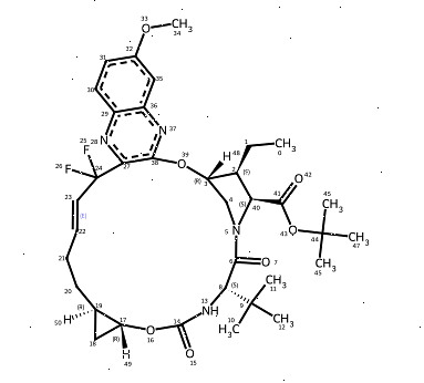 CC[C@@H]1[C@@H]2CN(C(=O)[C@H](C(C)(C)C)NC(=O)O[C@@H]3C[C@H]3CC/C=C/C(F)(F)c3nc4ccc(OC)cc4nc3O2)[C@@H]1C(=O)OC(C)(C)C